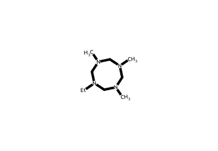 CCN1CN(C)CN(C)CN(C)C1